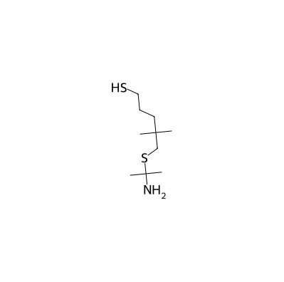 CC(C)(CCCS)CSC(C)(C)N